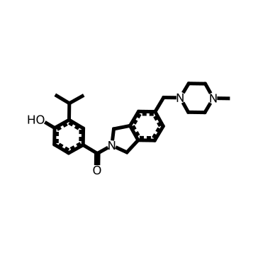 CC(C)c1cc(C(=O)N2Cc3ccc(CN4CCN(C)CC4)cc3C2)ccc1O